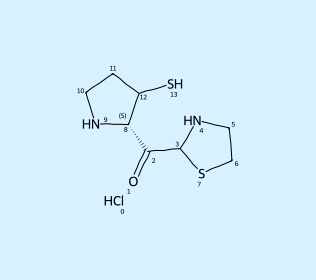 Cl.O=C(C1NCCS1)[C@@H]1NCCC1S